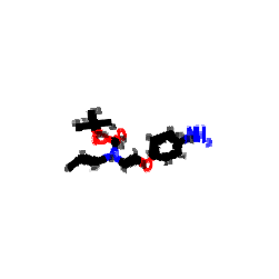 CCCN(CCOc1ccc(N)cc1)C(=O)OC(C)(C)C